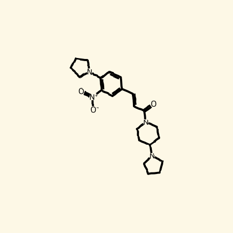 O=C(C=Cc1ccc(N2CCCC2)c([N+](=O)[O-])c1)N1CCC(N2CCCC2)CC1